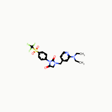 CCN(CC)c1cc(CN2CC(=O)N(c3ccc(S(=O)(=O)C(F)(F)F)cc3)C2=O)ccn1